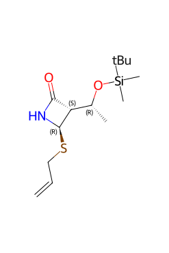 C=CCS[C@H]1NC(=O)[C@@H]1[C@@H](C)O[Si](C)(C)C(C)(C)C